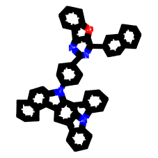 c1ccc2cc(-c3nc(-c4ccc(-n5c6ccc7ccccc7c6c6cc7c8ccccc8n8c9ccccc9c(c65)c78)cc4)nc4c3oc3ccccc34)ccc2c1